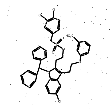 O=C(O)c1cccc(OCCc2c(CCNS(=O)(=O)Cc3ccc(Cl)c(Cl)c3)n(C(c3ccccc3)c3ccccc3)c3ccc(Cl)cc23)c1